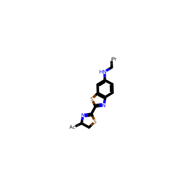 CC(=O)C1CSC(c2nc3ccc(NCC(C)C)cc3s2)=N1